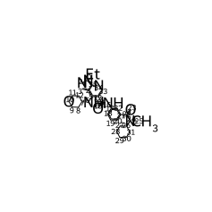 CCn1ncc2c(NC3CCOCC3)c(C(=O)Nc3cccc(C(=O)N(C)C4CCCCC4)c3)cnc21